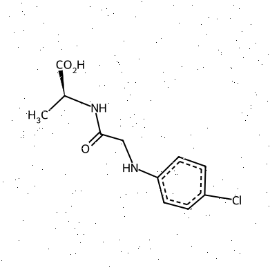 C[C@H](NC(=O)CNc1ccc(Cl)cc1)C(=O)O